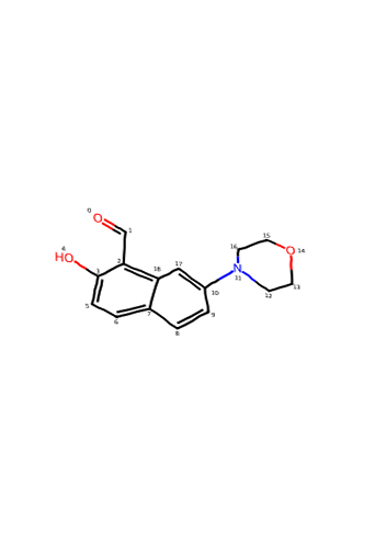 O=Cc1c(O)ccc2ccc(N3CCOCC3)cc12